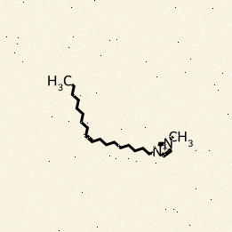 CCCCCCCC/C=C\CCCCCCCC[n+]1ccn(C)c1